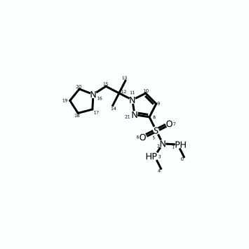 CPN(PC)S(=O)(=O)c1ccn(C(C)(C)CN2CCCC2)n1